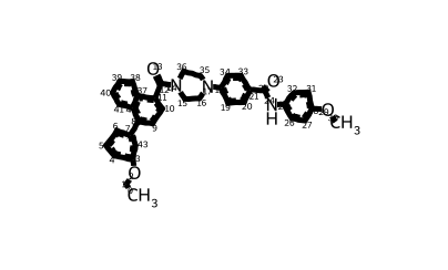 CCOc1cccc(-c2ccc(C(=O)N3CCN(c4ccc(C(=O)Nc5ccc(OC)cc5)cc4)CC3)c3ccccc23)c1